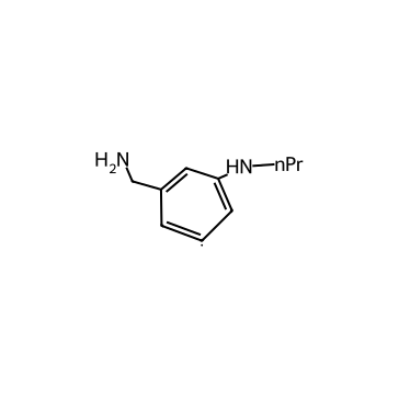 CCCNc1c[c]cc(CN)c1